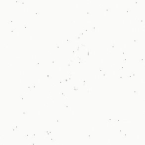 CCC(C(=O)N1CCN(CC(/C=C\c2ccc(Cl)c(Cl)c2)C(=O)OC)CC1)[C@H]1CC[C@H](C)[C@H]([C@@H](C)[C@H](O)[C@H](C)C(=O)[C@H](CC)[C@H]2OO[C@@]3(CC[C@@](C)([C@H]4CC[C@](O)(CC)[C@H](C)O4)O3)[C@H](OC(C)=O)/C=C\[C@H](C)C[C@@H]2C)O1